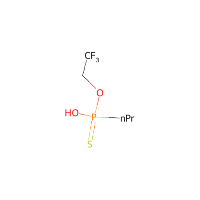 CCCP(O)(=S)OCC(F)(F)F